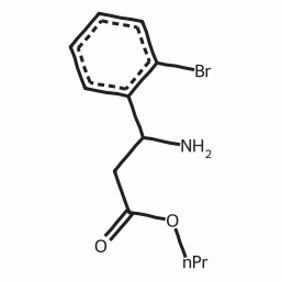 CCCOC(=O)CC(N)c1ccccc1Br